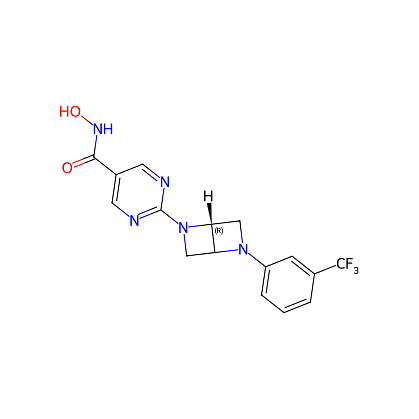 O=C(NO)c1cnc(N2CC3[C@H]2CN3c2cccc(C(F)(F)F)c2)nc1